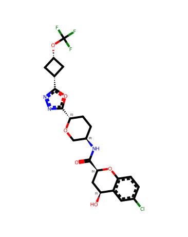 O=C(N[C@@H]1CC[C@@H](c2nnc([C@H]3C[C@@H](OC(F)(F)F)C3)o2)OC1)[C@@H]1C[C@H](O)c2cc(Cl)ccc2O1